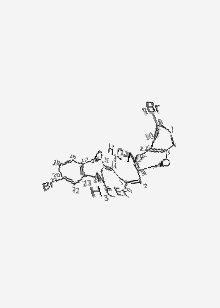 CCC(=Cc1oc2ccc(Br)cc2[n+]1C)C=C1Oc2ccc(Br)cc2N1C